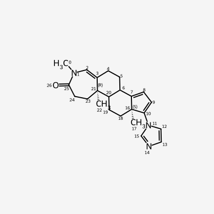 CN1C=C2CCC3C4=CC=C(n5ccnc5)[C@@]4(C)CCC3[C@@]2(C)CCC1=O